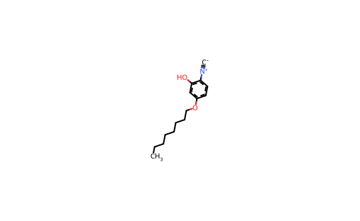 [C-]#[N+]c1ccc(OCCCCCCCC)cc1O